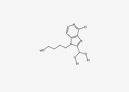 CCOC(OCC)c1nc2c(Cl)nccc2n1CCCCO